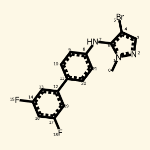 Cn1ncc(Br)c1Nc1ccc(-c2cc(F)cc(F)c2)cc1